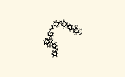 Nc1ncnc2c1c(-c1ccc(Oc3ccccc3)cc1)nn2C1CCN(CCCN2CCC(CN3CCC(c4ccc(N5CCC(=O)NC5=O)cc4)CC3)CC2)CC1